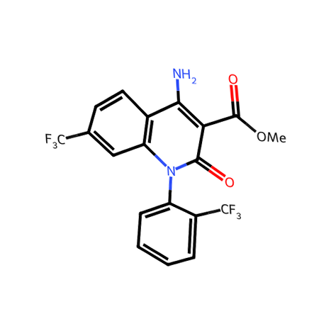 COC(=O)c1c(N)c2ccc(C(F)(F)F)cc2n(-c2ccccc2C(F)(F)F)c1=O